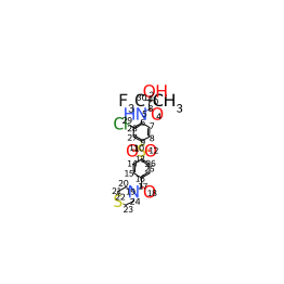 CC(O)(C(=O)Nc1ccc(S(=O)(=O)c2ccc(C(=O)N3CCSCC3)cc2)cc1Cl)C(F)(F)F